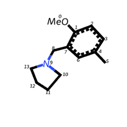 COc1ccc(C)cc1CN1CCCC1